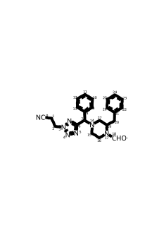 N#CCCn1nnc(C(c2ccccc2)N2CCN([C]=O)C(Cc3ccccc3)C2)n1